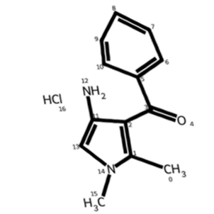 Cc1c(C(=O)c2ccccc2)c(N)cn1C.Cl